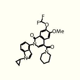 COc1cc2c(C(=O)N3CCCCC3)cn(-c3cccc4c3ccn4C3CC3)c(=O)c2cc1OC(F)F